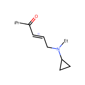 CCN(C/C=C/C(=O)C(C)C)C1CC1